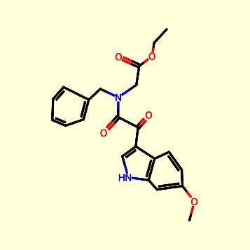 CCOC(=O)CN(Cc1ccccc1)C(=O)C(=O)c1c[nH]c2cc(OC)ccc12